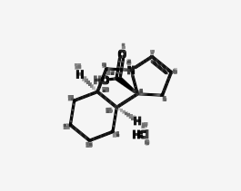 Cl.O=C(O)[C@]12CC=CN1C[C@@H]1CCCC[C@@H]12